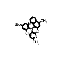 Cc1ccc2c(n1)Oc1cc(C)c3ccccc3c1N2c1c(C)cc(C(C)(C)C)cc1C